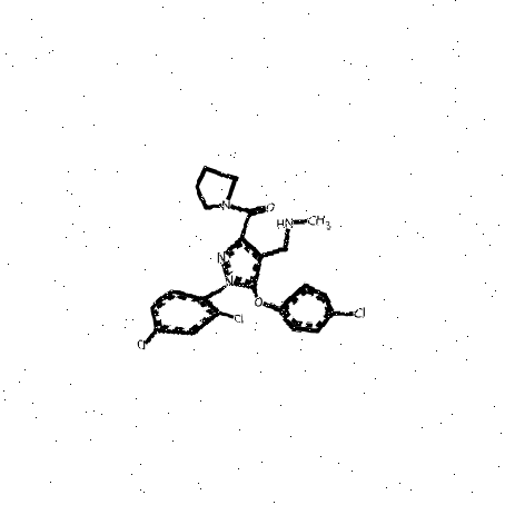 CNCc1c(C(=O)N2CCCC2)nn(-c2ccc(Cl)cc2Cl)c1Oc1ccc(Cl)cc1